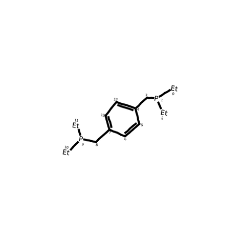 CCP(CC)Cc1ccc(CP(CC)CC)cc1